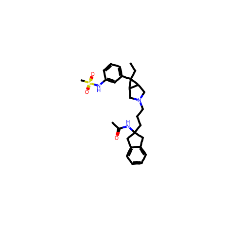 CCC1(c2cccc(NS(C)(=O)=O)c2)C2CN(CCCC3(NC(C)=O)Cc4ccccc4C3)CC21